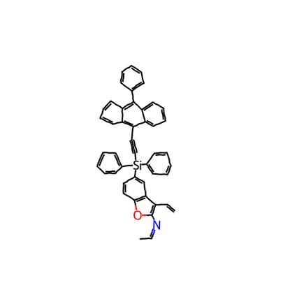 C=Cc1c(/N=C\C)oc2ccc([Si](C#Cc3c4ccccc4c(-c4ccccc4)c4ccccc34)(c3ccccc3)c3ccccc3)cc12